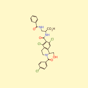 O=C(NC[C@H](NC(=O)c1c(Cl)cc2c(c1Cl)CCN(C(=O)c1ccc(Cl)cc1)C2CO)C(=O)O)c1ccccc1